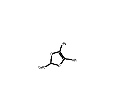 CCCC1=C(CCC)OC(C=O)O1